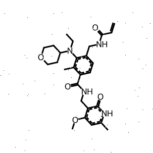 C=CC(=O)NCc1ccc(C(=O)NCc2c(OC)cc(C)[nH]c2=O)c(C)c1N(CC)C1CCOCC1